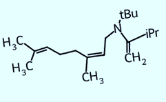 C=C(C(C)C)N(C/C=C(/C)CCC=C(C)C)C(C)(C)C